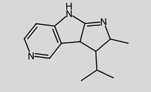 CC(C)C1C(C)N=C2Nc3ccncc3C21